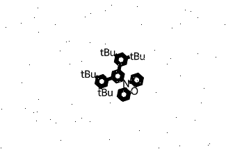 CC(C)(C)c1cc(-c2cc(-c3cc(C(C)(C)C)cc(C(C)(C)C)c3)cc(N3c4ccccc4Oc4ccccc43)c2)cc(C(C)(C)C)c1